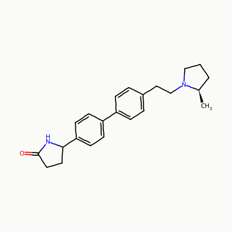 C[C@@H]1CCCN1CCc1ccc(-c2ccc(C3CCC(=O)N3)cc2)cc1